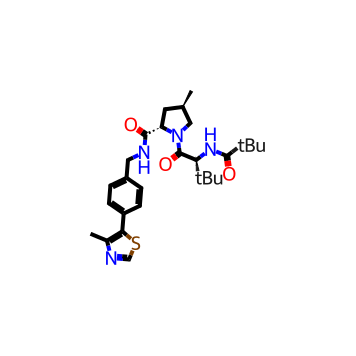 Cc1ncsc1-c1ccc(CNC(=O)[C@@H]2C[C@@H](C)CN2C(=O)[C@@H](NC(=O)C(C)(C)C)C(C)(C)C)cc1